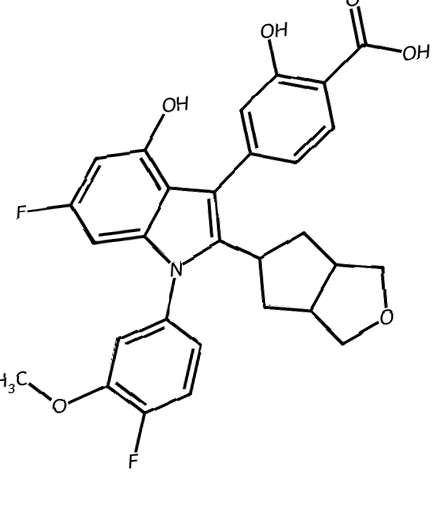 COc1cc(-n2c(C3CC4COCC4C3)c(-c3ccc(C(=O)O)c(O)c3)c3c(O)cc(F)cc32)ccc1F